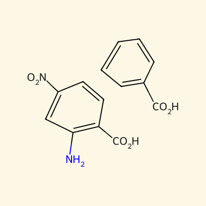 Nc1cc([N+](=O)[O-])ccc1C(=O)O.O=C(O)c1ccccc1